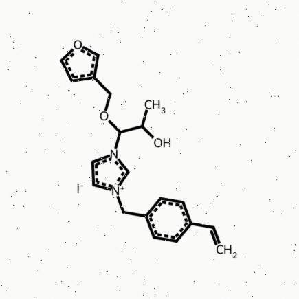 C=Cc1ccc(C[n+]2ccn(C(OCc3ccoc3)C(C)O)c2)cc1.[I-]